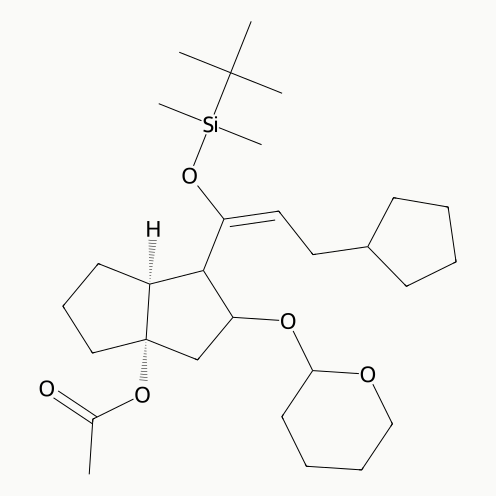 CC(=O)O[C@]12CCC[C@H]1C(/C(=C\CC1CCCC1)O[Si](C)(C)C(C)(C)C)C(OC1CCCCO1)C2